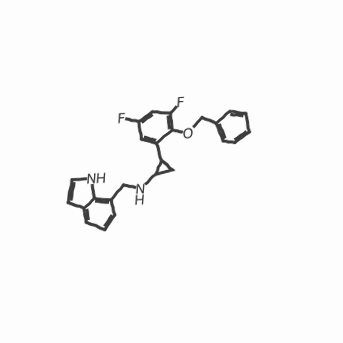 Fc1cc(F)c(OCc2ccccc2)c(C2CC2NCc2cccc3cc[nH]c23)c1